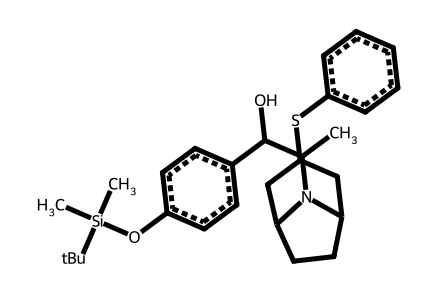 CC(C(O)c1ccc(O[Si](C)(C)C(C)(C)C)cc1)N1C2CCC1CC(Sc1ccccc1)C2